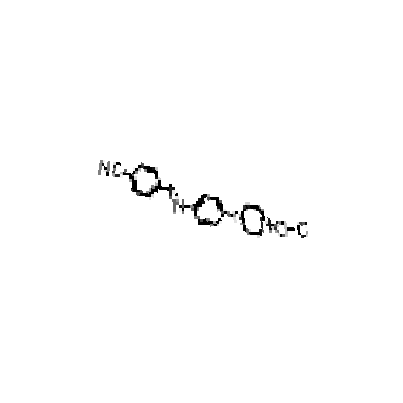 N#Cc1ccc(N=Nc2ccc(N3CCN(C=O)CC3)cc2)cc1